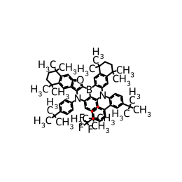 CC(C)(C)c1ccc(N2c3cc(C(C)(C)C)cc4c3B(c3cc5c(cc3N4c3ccc(C(C)(C)C)cc3-c3ccc(C(F)(F)F)cc3)C(C)(C)CCC5(C)C)c3oc4cc5c(cc4c32)C(C)(C)CCC5(C)C)cc1